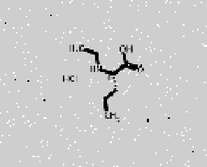 CCC[C@H](NCC)C(=O)O.Cl